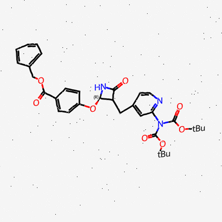 CC(C)(C)OC(=O)N(C(=O)OC(C)(C)C)c1cc(CC2C(=O)N[C@@H]2Oc2ccc(C(=O)OCc3ccccc3)cc2)ccn1